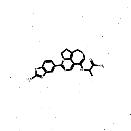 CC(NC1=COCC2=C3C1=CN=C(c1ccc4oc(N)nc4c1)N3CC2)C(N)=O